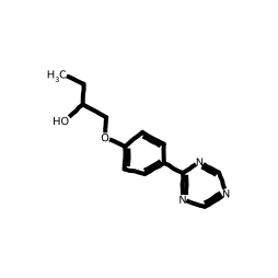 CCC(O)COc1ccc(-c2ncncn2)cc1